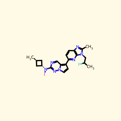 Cc1nc2ccc(-c3ccn4nc(N(I)[C@H]5C[C@H](C)C5)ncc34)nc2n1CC(C)F